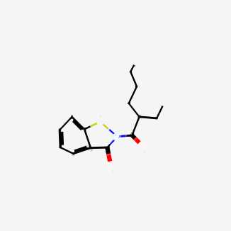 CCCCC(CC)C(=O)n1sc2ccccc2c1=O